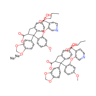 CCCOc1ccc2c(c1)CC(C(=O)[O-])C2(c1ccc2c(c1)OCO2)c1ccc(OC)cc1Oc1cnccc1C(=O)O.CCCOc1ccc2c(c1)CC(C(=O)[O-])C2(c1ccc2c(c1)OCO2)c1ccc(OC)cc1Oc1cnccc1C(=O)O.[Na+].[Na+]